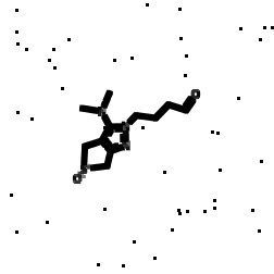 CN(C)c1c2c(nn1CCCC=O)C[S+]([O-])C2